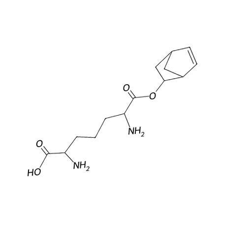 NC(CCCC(N)C(=O)OC1CC2C=CC1C2)C(=O)O